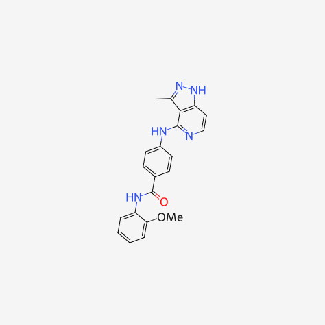 COc1ccccc1NC(=O)c1ccc(Nc2nccc3[nH]nc(C)c23)cc1